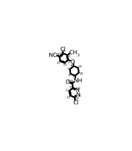 Cc1c(OC2CCC(NC(=O)c3ccc(Cl)nn3)CC2)ccc(C#N)c1Cl